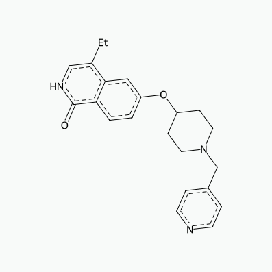 CCc1c[nH]c(=O)c2ccc(OC3CCN(Cc4ccncc4)CC3)cc12